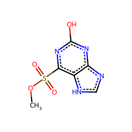 COS(=O)(=O)c1nc(O)nc2nc[nH]c12